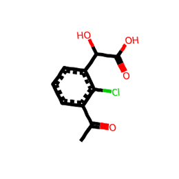 CC(=O)c1cccc(C(O)C(=O)O)c1Cl